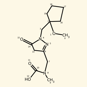 COC1(CN2N=C(CN(C)C(=O)O)CC2=O)CCCC1